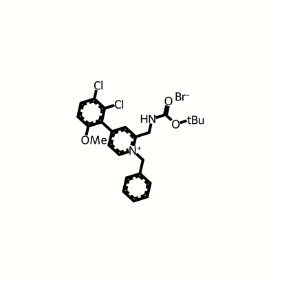 COc1ccc(Cl)c(Cl)c1-c1cc[n+](Cc2ccccc2)c(CNC(=O)OC(C)(C)C)c1.[Br-]